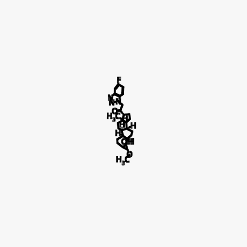 COC1C2[C@H]3CC[C@@H]4[C@H](CC[C@]5(C)[C@@H](C(=O)Cn6nnc7cc(F)ccc76)CC[C@@H]45)[C@H]3CC[C@]12O